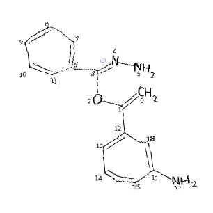 C=C(O/C(=N\N)c1ccccc1)c1cccc(N)c1